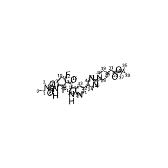 CCN(C)S(=O)(=O)Nc1ccc(F)c(C(=O)c2c[nH]c3ncc(-c4cnc(N5CCC(CC(=O)OC(C)(C)C)CC5)nc4)cc23)c1F